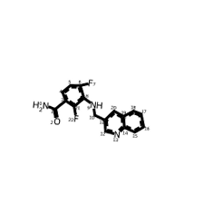 NC(=O)c1ccc(F)c(NCc2cnc3ccccc3c2)c1F